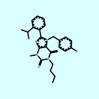 C=C1c2c(nc(-c3ccccc3C(C)C)n2Cc2ccc(F)cc2)N(C)C(=O)N1CCCC